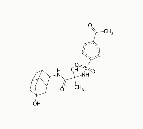 CC(=O)c1ccc(S(=O)(=O)NC(C)(C)C(=O)NC2C3CC4CC2CC(O)(C4)C3)cc1